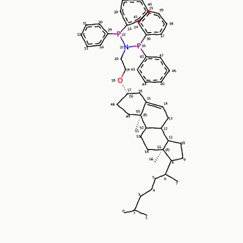 CC(C)CCCC(C)C1CCC2C3CC=C4C[C@@H](OCCN(P(c5ccccc5)c5ccccc5)P(c5ccccc5)c5ccccc5)CC[C@]4(C)C3CC[C@]12C